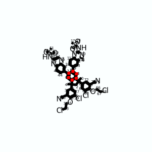 CC(CC(C)(c1ccc(-c2ccc3nc(NS(C)(=O)=O)nnc3c2)cc1)c1cc(Cl)c(OCCCl)c(C#N)c1)(c1ccc(-c2ccc3nc(NS(C)(=O)=O)cnc3c2)cc1)c1cc(Cl)c(OCCCl)c(C#N)c1